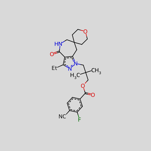 CCc1nn(CC(C)(C)COC(=O)c2ccc(C#N)c(F)c2)c2c1C(=O)NCC1(CCOCC1)C2